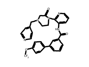 O=C(Nc1cccnc1N1CCN(Cc2ccncc2)CC1=O)c1cccc(-c2ccc(OC(F)(F)F)cc2)c1